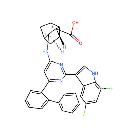 O=C(O)[C@H]1C2CCC(CC2)[C@@H]1Nc1cc(-c2ccccc2-c2ccccc2)nc(-c2c[nH]c3c(F)cc(F)cc23)n1